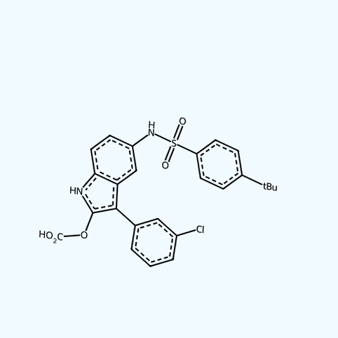 CC(C)(C)c1ccc(S(=O)(=O)Nc2ccc3[nH]c(OC(=O)O)c(-c4cccc(Cl)c4)c3c2)cc1